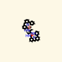 CCC(NC(=O)c1cccc2cc3cccc(-c4ccccc4)c3nc12)C(N)C(CC)NC(=O)c1cccc2cc3cccc(-c4ccccc4)c3nc12